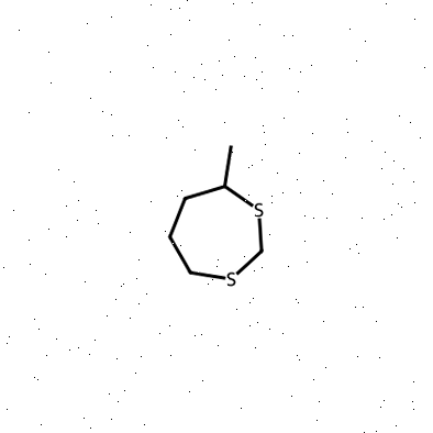 CC1CCCSCS1